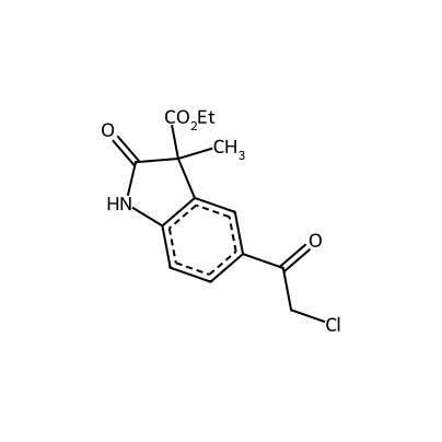 CCOC(=O)C1(C)C(=O)Nc2ccc(C(=O)CCl)cc21